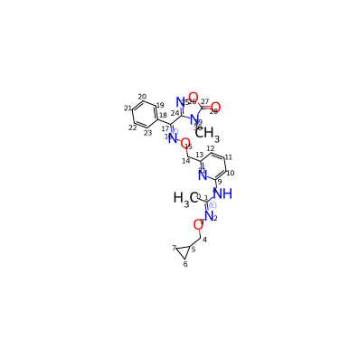 C/C(=N\OCC1CC1)Nc1cccc(CO/N=C(/c2ccccc2)c2noc(=O)n2C)n1